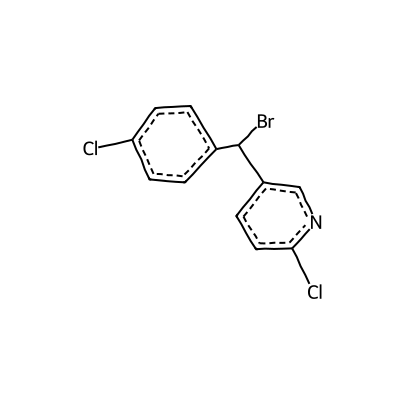 Clc1ccc(C(Br)c2ccc(Cl)nc2)cc1